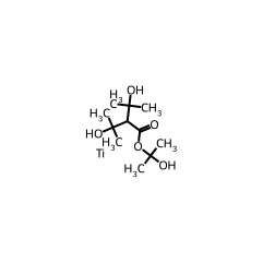 CC(C)(O)OC(=O)C(C(C)(C)O)C(C)(C)O.[Ti]